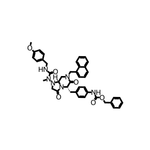 COc1ccc(CNC(=O)N(C)N2CC(=O)N3[C@@H](Cc4ccc(NC(=O)OCc5ccccc5)cc4)C(=O)N(Cc4cccc5ccccc45)C[C@@H]32)cc1